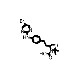 CC1(C)OCC(CCc2ccc(Nc3ncc(Br)cn3)cc2)N1C(=O)O